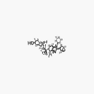 O=C(O)CC(Cc1c[nH]c2ccc(O)cc12)NC(=O)c1ccc2c(c1)nc(-c1ccoc1)n2C1CCCCC1